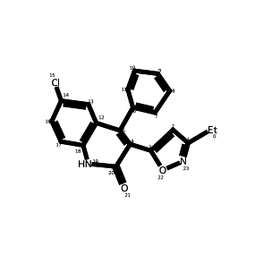 CCc1cc(-c2c(-c3ccccc3)c3cc(Cl)ccc3[nH]c2=O)on1